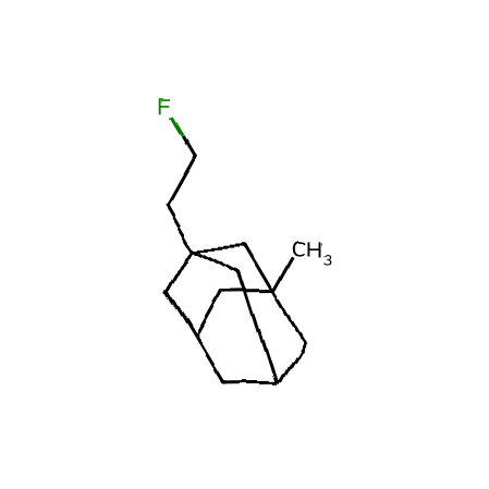 CC12CC3CC(C1)CC(CCF)(C3)C2